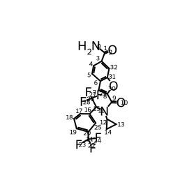 NC(=O)c1ccc2cc(C(=O)N(C3CC3)C(c3cccc(C(F)(F)F)c3)C(F)(F)F)oc2c1